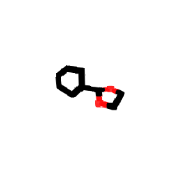 C1=CC(C2OCCO2)CCC1